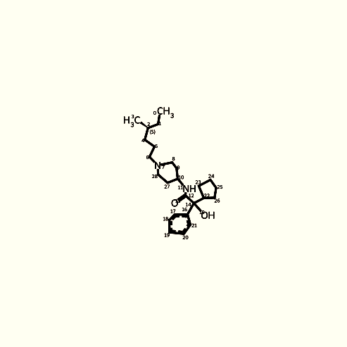 CC[C@H](C)CCCN1CCC(NC(=O)C(O)(c2ccccc2)C2CCCC2)CC1